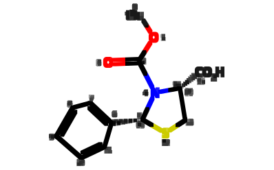 CC(C)(C)OC(=O)N1[C@@H](c2ccccc2)SC[C@H]1C(=O)O